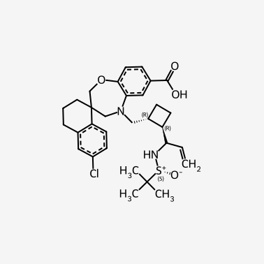 C=CC(N[S@+]([O-])C(C)(C)C)[C@@H]1CC[C@H]1CN1CC2(CCCc3cc(Cl)ccc32)COc2ccc(C(=O)O)cc21